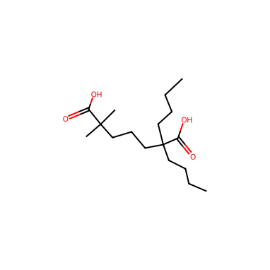 CCCCC(CCCC)(CCCC(C)(C)C(=O)O)C(=O)O